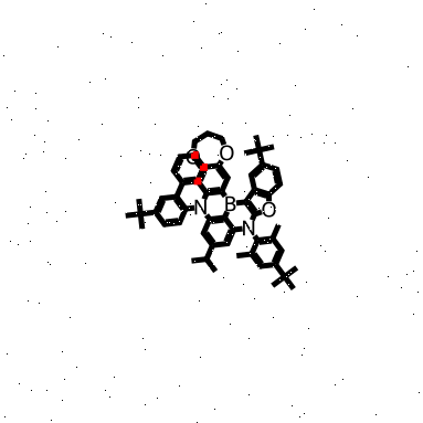 Cc1cc(C(C)(C)C)cc(C)c1N1c2cc(C(C)C)cc3c2B(c2cc4c(cc2N3c2ccc(C(C)(C)C)cc2-c2ccccc2)OCCCO4)c2c1oc1ccc(C(C)(C)C)cc21